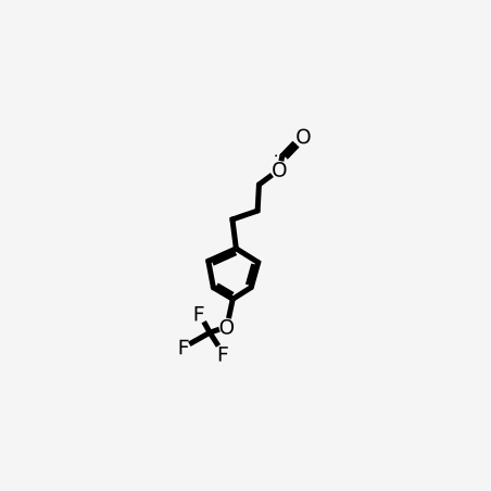 O=[C]OCCCc1ccc(OC(F)(F)F)cc1